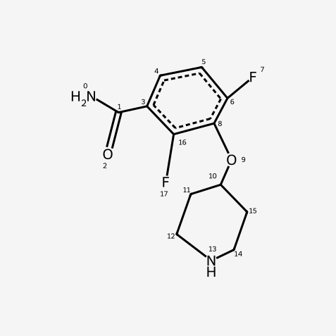 NC(=O)c1ccc(F)c(OC2CCNCC2)c1F